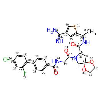 C[C@@H](NC(=O)[C@@H]1CC2(CN1C(=O)CNC(=O)c1ccc(-c3ccc(Cl)cc3F)cc1)OCCO2)c1cc(C(=N)N)cs1